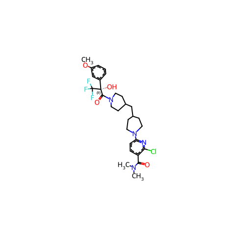 COc1cccc([C@@](O)(C(=O)N2CCC(CC3CCN(c4ccc(C(=O)N(C)C)c(Cl)n4)CC3)CC2)C(F)(F)F)c1